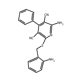 N#Cc1c(N)nc(SCc2ccccc2N)c(C#N)c1-c1ccccc1